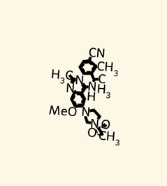 COc1cc2nc(C)nc(NC(C)c3cccc(C#N)c3C)c2cc1N1CCN(S(C)(=O)=O)CC1